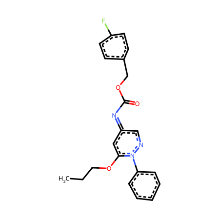 CCCOc1cc(=NC(=O)OCc2ccc(F)cc2)cnn1-c1ccccc1